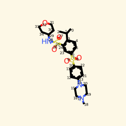 CC(C)c1ccc(S(=O)(=O)c2ccc(N3CCN(C)CC3)cc2)cc1S(=O)(=O)NC1CCOCC1